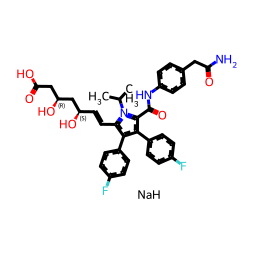 CC(C)n1c(C=C[C@@H](O)C[C@@H](O)CC(=O)O)c(-c2ccc(F)cc2)c(-c2ccc(F)cc2)c1C(=O)Nc1ccc(CC(N)=O)cc1.[NaH]